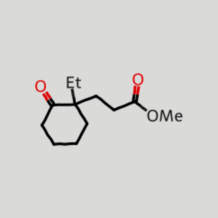 CCC1(CCC(=O)OC)CCCCC1=O